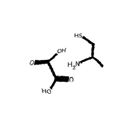 CC(N)CS.O=C(O)C(=O)O